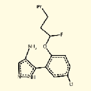 CC(C)CCC(F)Oc1ccc(Cl)cc1-c1[nH]ncc1N